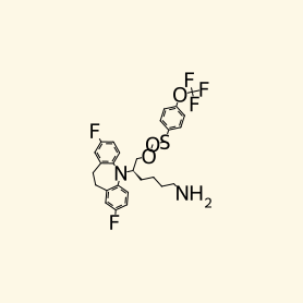 NCCCC[C@H](COOSc1ccc(OC(F)(F)F)cc1)N1c2ccc(F)cc2CCc2cc(F)ccc21